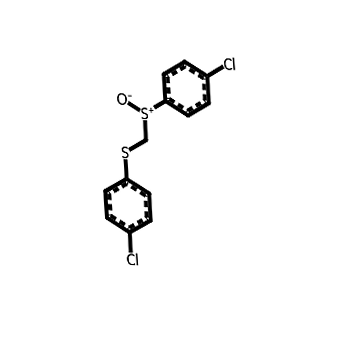 [O-][S+](CSc1ccc(Cl)cc1)c1ccc(Cl)cc1